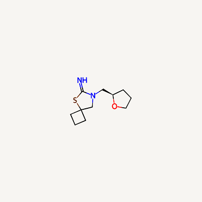 N=C1SC2(CCC2)CN1C[C@H]1CCCO1